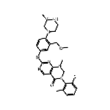 COCc1cc(Nc2ncc3c(n2)N(C)CN(c2c(C)cccc2Cl)C3=O)ccc1N1CCN[C@H](C)C1